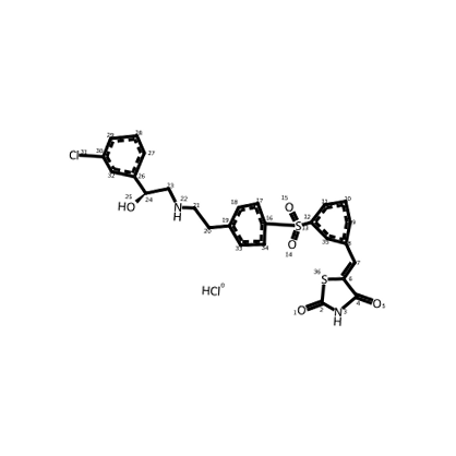 Cl.O=C1NC(=O)C(=Cc2cccc(S(=O)(=O)c3ccc(CCNC[C@@H](O)c4cccc(Cl)c4)cc3)c2)S1